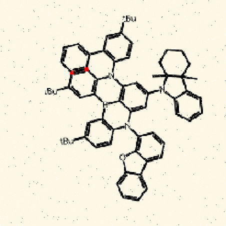 CC(C)(C)c1ccc2c(c1)B1c3cc(C(C)(C)C)ccc3N(c3cccc4c3oc3ccccc34)c3cc(N4c5ccccc5C5(C)CCCCC45C)cc(c31)N2c1ccc(C(C)(C)C)cc1-c1ccccc1